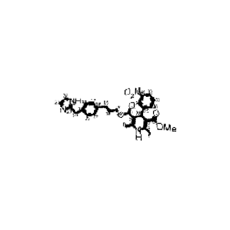 COC(=O)C1=C(C)NC(C)=C(C(=O)OCC=Cc2ccc(Cc3ncc[nH]3)cc2)C1c1cccc([N+](=O)[O-])c1